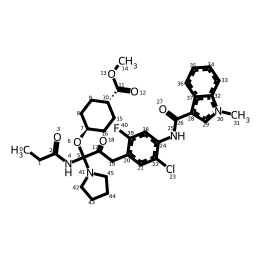 CCC(=O)NC(O[C@H]1CC[C@H](C(=O)OC)CC1)(C(=O)Cc1cc(Cl)c(NC(=O)c2cn(C)c3ccccc23)cc1F)N1CCCC1